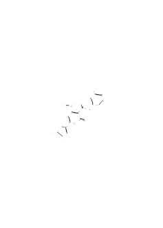 O=C(Nc1ccc(Cl)cc1)c1c(NO)cc(-c2cccs2)oc1=O